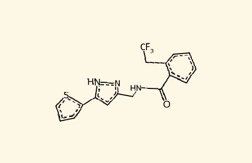 O=C(NCc1cc(-c2cccs2)[nH]n1)c1ccccc1CC(F)(F)F